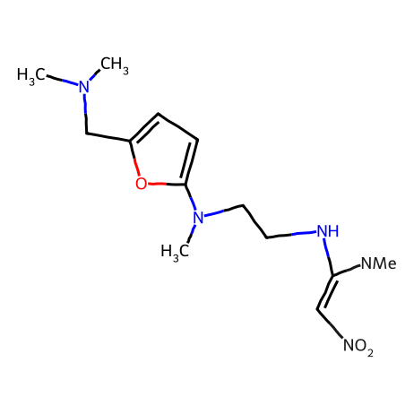 CNC(=C[N+](=O)[O-])NCCN(C)c1ccc(CN(C)C)o1